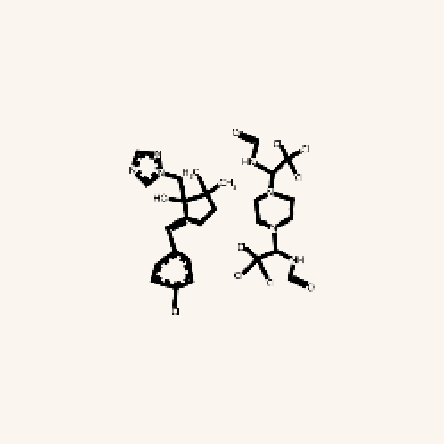 CC1(C)CC/C(=C\c2ccc(Cl)cc2)C1(O)Cn1cncn1.O=CNC(N1CCN(C(NC=O)C(Cl)(Cl)Cl)CC1)C(Cl)(Cl)Cl